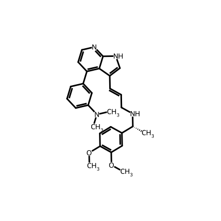 COc1ccc([C@@H](C)NC/C=C/c2c[nH]c3nccc(-c4cccc(N(C)C)c4)c23)cc1OC